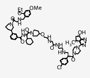 CCOc1cc(OC)ccc1CNCC(=O)N1CCCC(c2cccc(C(=O)N[C@@H](C(=O)N3CCC(OCCNCC(=O)NCCNC[C@@H](C(=O)N4CCN(c5ncnc6c5[C@H](C)C[C@H]6O)CC4)c4ccc(Cl)cc4)CC3)C3CCCCC3)c2)C1